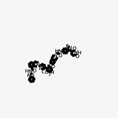 Cc1c(O[C@@H]2CCC3(CCN(CC(=O)Nc4ccc5c(C6CCC(=O)NC6=O)nn(C)c5c4)CC3)C2)cccc1-c1ccc(N2CCc3cccc(C(=O)Nc4nc5ccccc5s4)c3C2)nc1C(=O)O